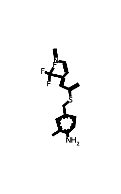 C=N/C=C\C(=C/C(=C)SCc1ccc(N)c(C)c1)C(F)(F)F